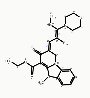 CCOC(=O)C1=C2N(C)c3ccccc3N2C/C(=C\C(F)=C(/NC)N2CCOCC2)C1=O